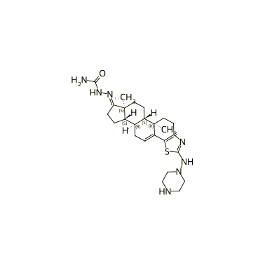 C[C@]12CCc3nc(NN4CCNCC4)sc3C1=CC[C@@H]1[C@@H]2CC[C@]2(C)/C(=N/NC(N)=O)CC[C@@H]12